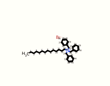 CCCCCCCCCCCCCC[N+](Cc1ccccc1)(Cc1ccccc1)Cc1ccccc1.[Br-]